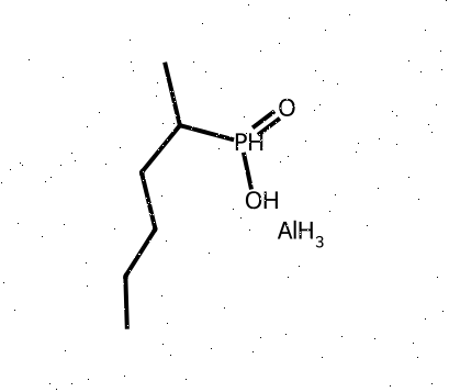 CCCCC(C)[PH](=O)O.[AlH3]